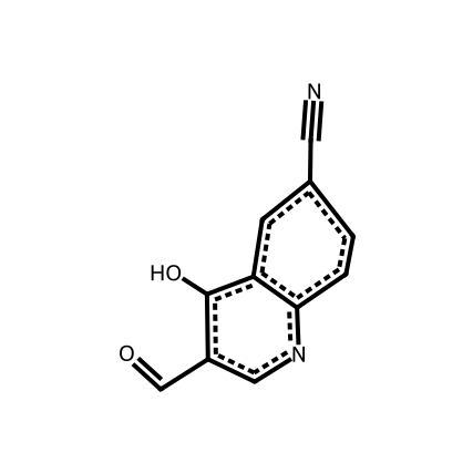 N#Cc1ccc2ncc(C=O)c(O)c2c1